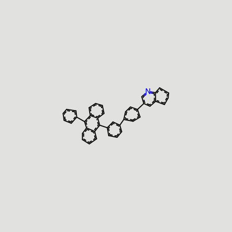 c1ccc(-c2c3ccccc3c(-c3cccc(-c4ccc(-c5cnc6ccccc6c5)cc4)c3)c3ccccc23)cc1